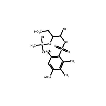 COc1cc(C)c(S(=O)(=O)NC(C(CC(=O)O)O[Si](C)(C)C(C)(C)C)C(C)(C)C)c(C)c1C